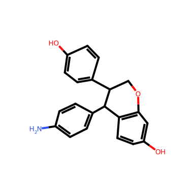 Nc1ccc(C2c3ccc(O)cc3OCC2c2ccc(O)cc2)cc1